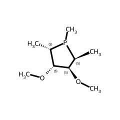 CO[C@H]1[C@H](OC)[C@H](C)P(C)[C@H]1C